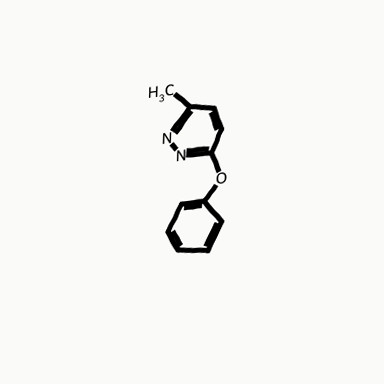 Cc1ccc(Oc2ccccc2)nn1